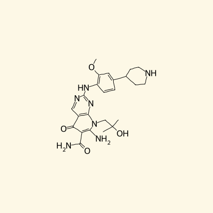 COc1cc(C2CCNCC2)ccc1Nc1ncc2c(=O)c(C(N)=O)c(N)n(CC(C)(C)O)c2n1